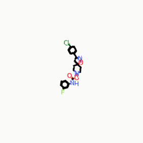 O=C(Nc1cccc(F)c1)ON1CCC2(CC1)CC(c1ccc(Cl)cc1)=NO2